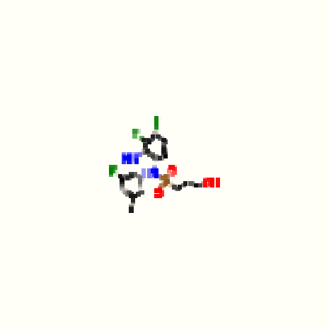 Cc1ccc(Nc2c(NS(=O)(=O)CCCO)ccc(F)c2F)c(F)c1